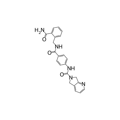 NC(=O)c1ccccc1CNC(=O)c1ccc(NC(=O)N2Cc3cccnc3C2)cc1